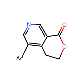 CC(=O)c1cncc2c1CCOC2=O